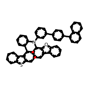 c1cc(-c2ccc(-c3cccc4ccccc34)cc2)cc(N(c2ccccc2-c2cccc3sc4ccccc4c23)c2cccc3c2oc2ccccc23)c1